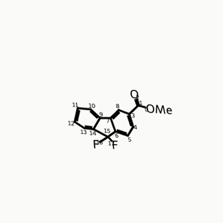 COC(=O)c1ccc2c(c1)-c1ccccc1C2(F)F